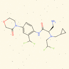 NC[C@H](C(=O)Nc1ccc(N2CCOCC2=O)cc1C(F)F)N(CC(F)F)CC1CC1